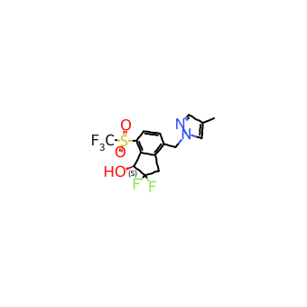 Cc1cnn(Cc2ccc(S(=O)(=O)C(F)(F)F)c3c2CC(F)(F)[C@H]3O)c1